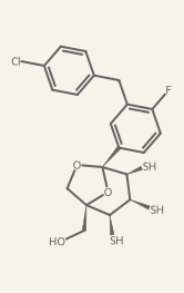 OC[C@@]12CO[C@@](c3ccc(F)c(Cc4ccc(Cl)cc4)c3)(O1)[C@@H](S)[C@@H](S)[C@H]2S